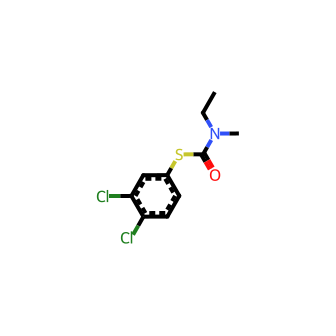 CCN(C)C(=O)Sc1ccc(Cl)c(Cl)c1